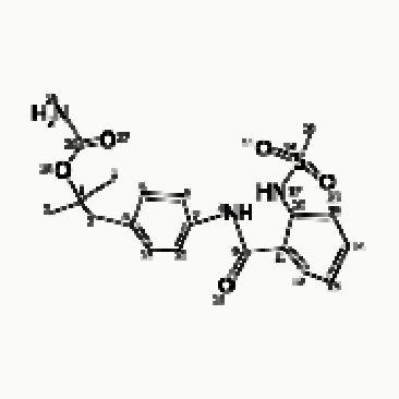 CC(C)(Cc1ccc(NC(=O)c2ccccc2NS(C)(=O)=O)cc1)OC(N)=O